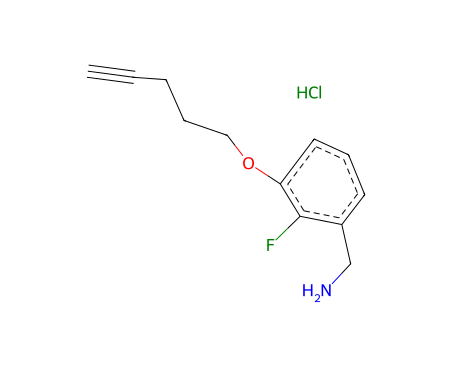 C#CCCCOc1cccc(CN)c1F.Cl